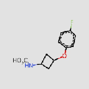 O=C(O)NC1CC(Oc2ccc(F)cc2)C1